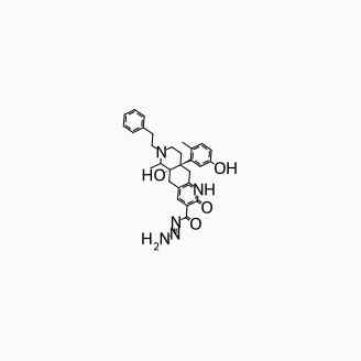 Cc1ccc(O)cc1[C@]12CCN(CCc3ccccc3)C(C)[C@]1(O)Cc1cc(C(=O)N=NN)c(=O)[nH]c1C2